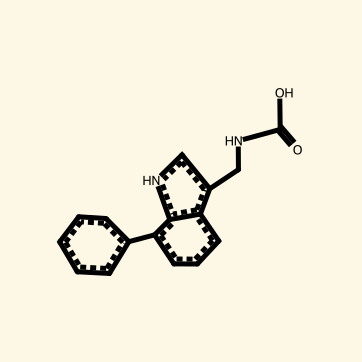 O=C(O)NCc1c[nH]c2c(-c3ccccc3)cccc12